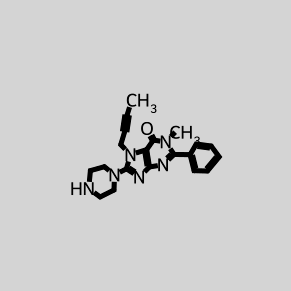 CC#CCn1c(N2CCNCC2)nc2nc(-c3ccccc3)n(C)c(=O)c21